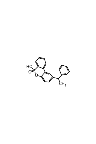 CC(c1ccccc1)c1ccc2c(c1)-c1ccccc1P(=O)(O)O2